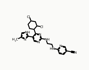 Cc1c[nH]c(-c2cnc(NCCNc3ccc(C#N)cn3)nc2C2CCC(Cl)CC2Cl)n1